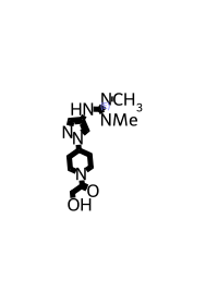 C/N=C(\NC)Nc1cnn(C2CCN(C(=O)CO)CC2)c1